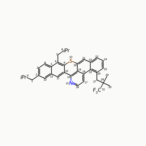 CC(C)Cc1ccc2c(CC(C)C)c3c(cc2c1)-c1nccc2c1c(cc1cccc(CC(C)(C)C(F)(F)F)c12)S3